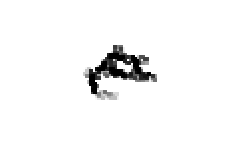 CCCCCCCCCCCCCC(=O)OCC(COCC(CC)CCOCC(CC)CCOC)OC(=O)CCCCCCCCCCCCC